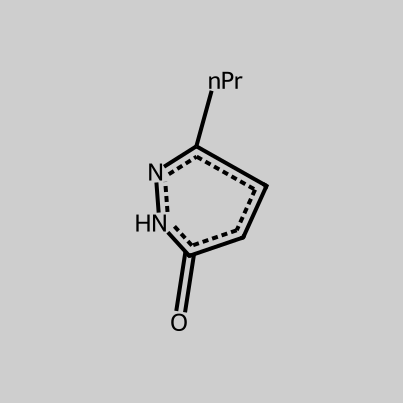 CCCc1ccc(=O)[nH]n1